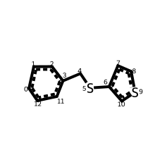 c1ccc(CSc2ccsc2)cc1